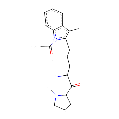 COC(=O)n1c(CCCC(N)C(=O)C2CCCN2C(C)=O)c(OC(C)=O)c2ccccc21